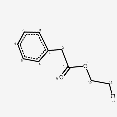 O=C(Cc1ccccc1)OCCCl